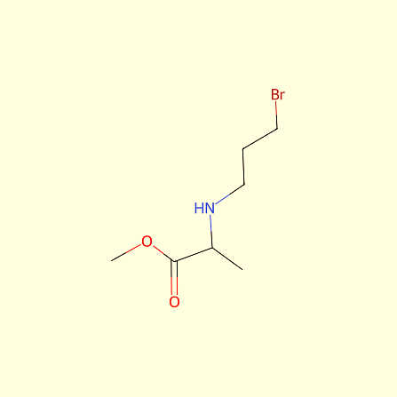 COC(=O)C(C)NCCCBr